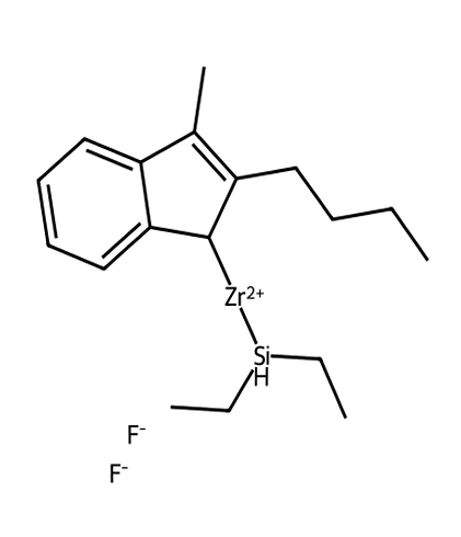 CCCCC1=C(C)c2ccccc2[CH]1[Zr+2][SiH](CC)CC.[F-].[F-]